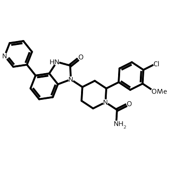 COc1cc(C2CC(n3c(=O)[nH]c4c(-c5cccnc5)cccc43)CCN2C(N)=O)ccc1Cl